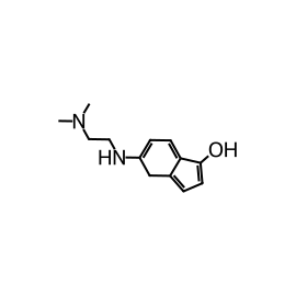 CN(C)CCNC1=CC=C2C(O)=CC=C2C1